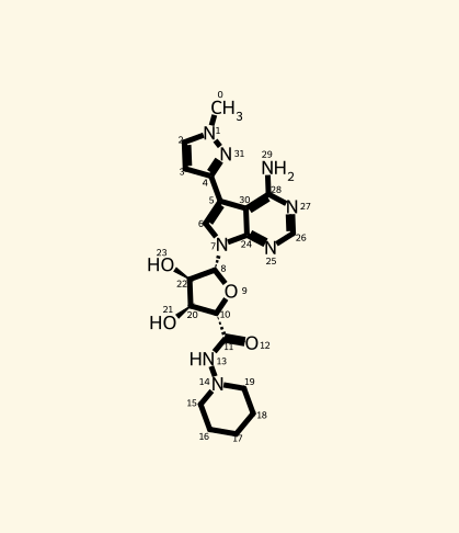 Cn1ccc(-c2cn([C@@H]3O[C@H](C(=O)NN4CCCCC4)[C@@H](O)[C@H]3O)c3ncnc(N)c23)n1